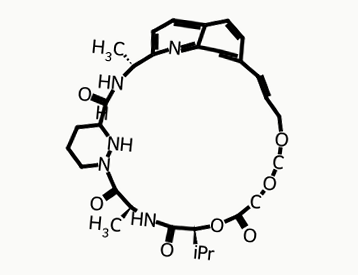 CC(C)[C@@H]1OC(=O)COCOC/C=C/c2ccc3ccc(nc3c2)[C@@H](C)NC(=O)[C@@H]2CCCN(N2)C(=O)[C@H](C)NC1=O